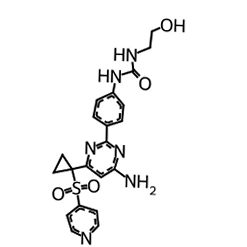 Nc1cc(C2(S(=O)(=O)c3ccncc3)CC2)nc(-c2ccc(NC(=O)NCCO)cc2)n1